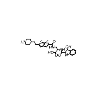 O=C(NC(CNC(=O)c1cc2cc(CCC3CCNCC3)sc2s1)C(=O)O)C1=Nc2ccccc2C1O